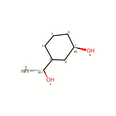 CCC[C@@H](O)C1CCC[C@@H](O)C1